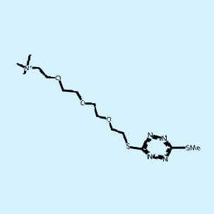 CSc1nnc(SCCOCCOCCOCC[N+](C)(C)C)nn1